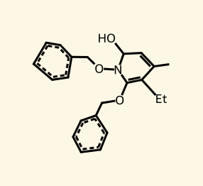 CCC1=C(OCc2ccccc2)N(OCc2ccccc2)C(O)C=C1C